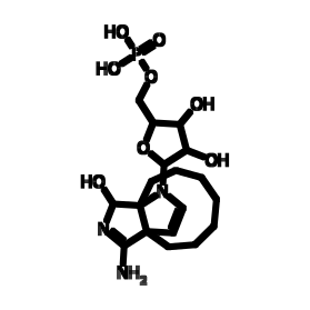 NC1=NC(O)C23CCCCCCCC12C=CN3C1OC(COP(=O)(O)O)C(O)C1O